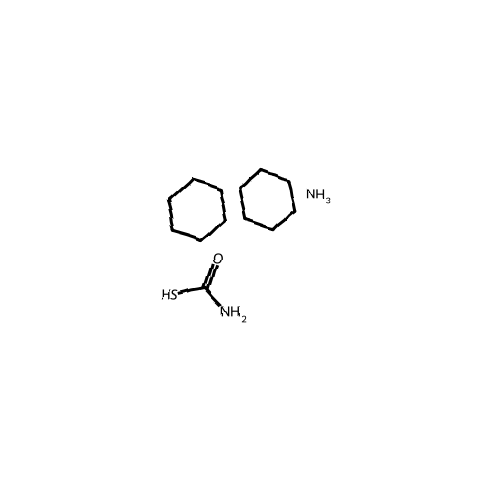 C1CCCCC1.C1CCCCC1.N.NC(=O)S